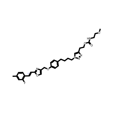 COCCNC(=O)OCCc1cn(CCCCc2ccc(OCc3coc(/C=C/c4ccc(C)cc4F)n3)cc2)nn1